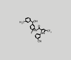 Cc1cccc(C(O)c2ccc(F)c(NC(=O)c3cc(C(F)(F)F)nn3-c3cccc(C#N)c3)c2)c1